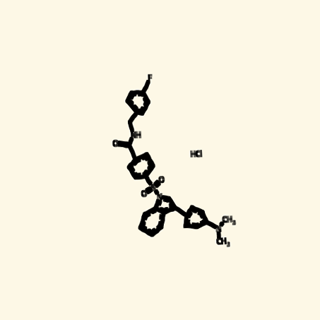 CN(C)c1ccc(-c2cn(S(=O)(=O)c3ccc(C(=O)NCc4ccc(F)cc4)cc3)c3ccccc23)cc1.Cl